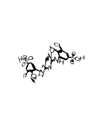 COc1c(Cl)cc(S(=O)(=O)O)cc1Nc1ncnc(Nc2cc(S(=O)(=O)O)cc(Cl)c2OC)n1